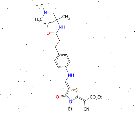 CCOC(=O)/C(C#N)=c1\sc(=CNc2ccc(CCC(=O)NC(C)(C)CN(C)C)cc2)c(=O)n1CC